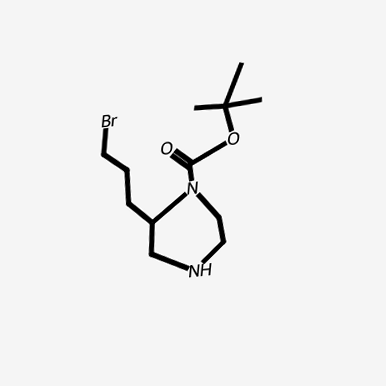 CC(C)(C)OC(=O)N1CCNCC1CCCBr